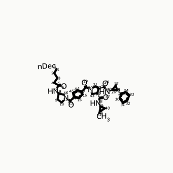 CCCCCCCCCCCCCCC(=O)N[C@H]1CCN(C(=O)c2ccc(C(=O)N3C[C@@H](C(=O)N[C@H]4C[C@@H]4c4ccccc4)[C@H](C(=O)N[C@H]4C[C@@H]4C)C3)cc2)C1